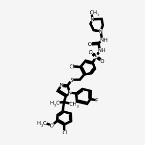 COc1cc(C(C)(C)c2cnc(SCc3ccc(S(=O)(=O)NC(=O)NN4CCN(C)CC4)cc3Cl)n2-c2ccc(F)cc2)ccc1Cl